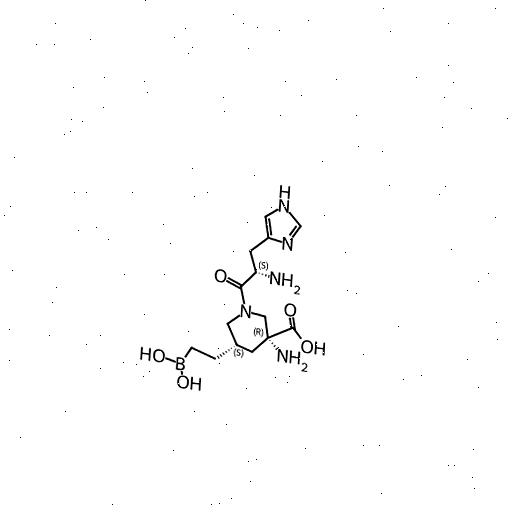 N[C@@H](Cc1c[nH]cn1)C(=O)N1C[C@@H](CCB(O)O)C[C@](N)(C(=O)O)C1